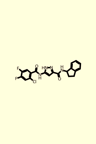 O=C(NC1CCc2ccccc21)c1cc(NC(=O)c2cc(F)c(F)cc2Cl)[nH]n1